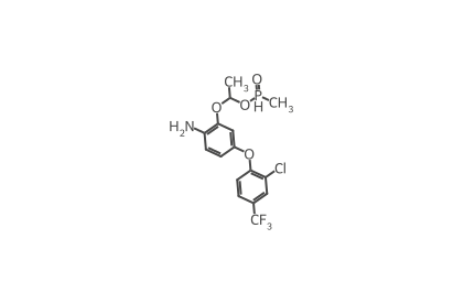 CC(Oc1cc(Oc2ccc(C(F)(F)F)cc2Cl)ccc1N)O[PH](C)=O